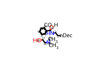 CCCCCCCCCCCCNC(=O)c1ccccc1C(=O)O.CN(C)CCO